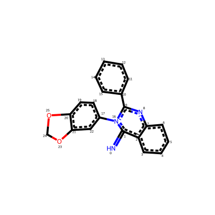 N=c1c2ccccc2nc(-c2ccccc2)n1-c1ccc2c(c1)OCO2